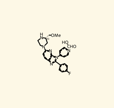 COC[C@@H]1CN(c2ccc3nc(-c4ccc(F)cc4)n(-c4ccncc4)c3n2)CCN1.O=CO